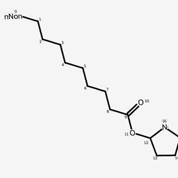 CCCCCCCCCCCCCCCCCC(=O)OC1CCC[N]1